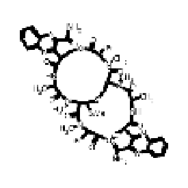 CSC1SCC2C(=O)N(C)C(C(C)C)C(=O)OCC(c3nc4ccccc4nc3C(N)=O)C(=O)NC(C)C(=O)N(C)C1C(=O)N(C)C(C(C)C)C(=O)OCC(c1nc3ccccc3nc1C(N)=O)C(=O)NC(C)C(=O)N2C